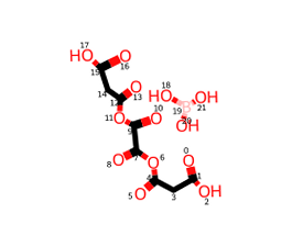 O=C(O)CC(=O)OC(=O)C(=O)OC(=O)CC(=O)O.OB(O)O